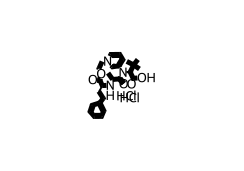 CCOC(=O)[C@H](CCc1ccccc1)NC(C)C(=O)N(c1cccnc1)[C@H](C(=O)O)C(C)(C)C.Cl.Cl